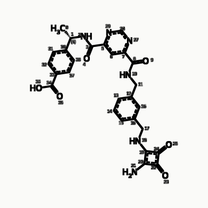 C[C@H](NC(=O)c1cc(C(=O)NCc2cccc(CNc3c(N)c(=O)c3=O)c2)ncn1)c1ccc(C(=O)O)cc1